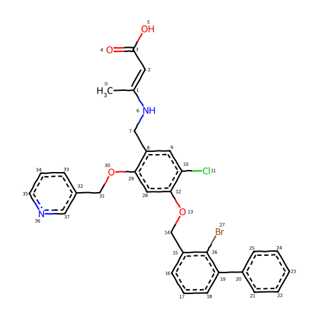 C/C(=C\C(=O)O)NCc1cc(Cl)c(OCc2cccc(-c3ccccc3)c2Br)cc1OCc1cccnc1